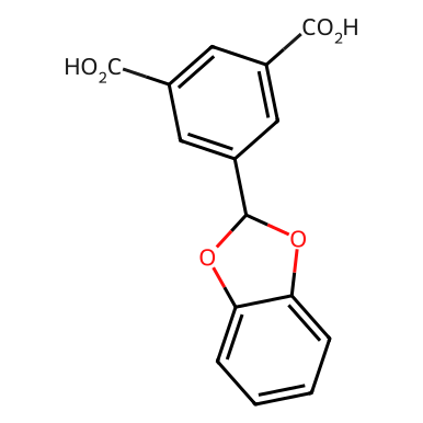 O=C(O)c1cc(C(=O)O)cc(C2Oc3ccccc3O2)c1